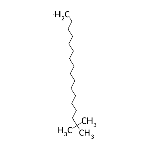 [CH2]CCCCCCCCCCCCCCC(C)(C)C